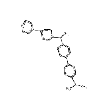 CC(C)c1ccc(-c2ccc(C(C)c3ccc(-c4ccncc4)cc3)cc2)cc1